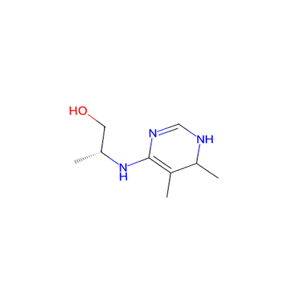 CC1=C(N[C@H](C)CO)N=CNC1C